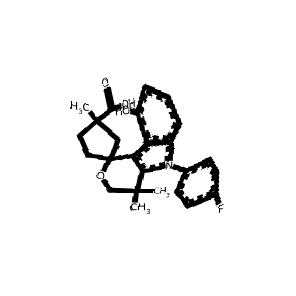 CC1(C(=O)O)CCC2(C1)OCC(C)(C)c1c2c2c(O)cccc2n1-c1ccc(F)cc1